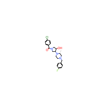 C[C@@H]1CN(Cc2ccc(F)cc2)CCN1C1CN(C(=O)c2ccc(Cl)cc2)CC1O